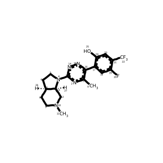 Cc1nc(N2CC[C@@H]3CCN(C)C[C@@H]32)nnc1-c1cc(F)c(C(F)(F)F)cc1O